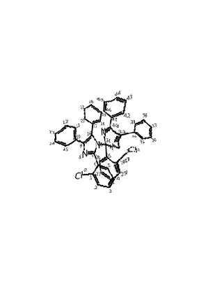 Clc1ccccc1-c1nc(-c2ccccc2)c(C2=CC=CCC2)n1C1(c2ccccc2Cl)N=C(c2ccccc2)C(c2ccccc2)=N1